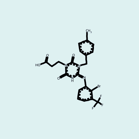 Cc1ccc(Cn2c(=O)n(CCC(=O)O)c(=O)[nH]/c2=N\c2cccc(C(F)(F)F)c2Br)cc1